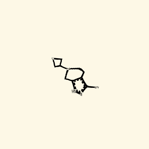 CC(C)c1n[nH]c2c1CCN(C1COC1)C2